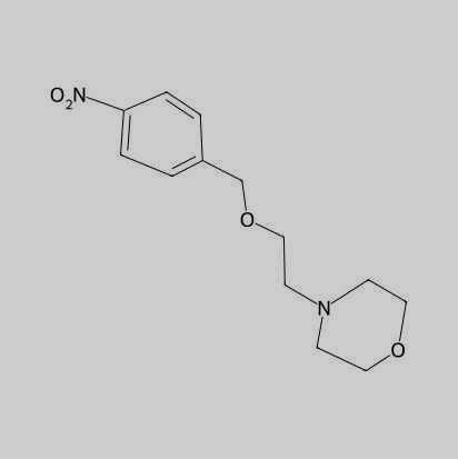 O=[N+]([O-])c1ccc(COCCN2CCOCC2)cc1